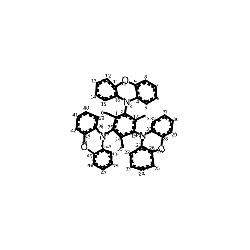 Cc1c(N2c3ccccc3Oc3ccccc32)c(C)c(N2c3ccccc3Oc3ccccc32)c(C)c1N1c2ccccc2Oc2ccccc21